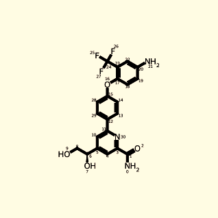 NC(=O)c1cc([C@@H](O)CO)cc(-c2ccc(Oc3ccc(N)cc3C(F)(F)F)cc2)n1